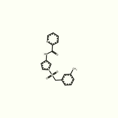 Cc1cccc(CS(=O)(=O)n2ccc(NC(=O)c3ccccn3)c2)c1